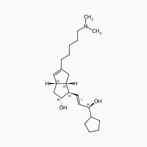 CN(C)CCCCCC1=C[C@H]2C[C@@H](O)[C@H](/C=C/[C@@H](O)C3CCCC3)[C@H]2C1